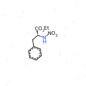 CCOC(=O)[C@H](Cc1ccccc1)N[N+](=O)[O-]